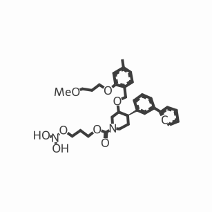 COCCCOc1cc(C)ccc1COC1CN(C(=O)OCCCON(O)O)CC[C@@H]1c1cccc(-c2ccccc2)c1